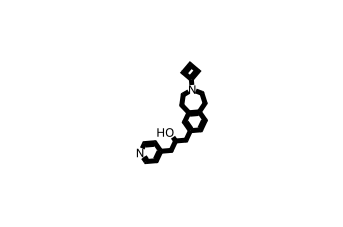 OC(Cc1ccncc1)Cc1ccc2c(c1)CCN(C1=CC=C1)CC2